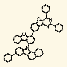 c1ccc(-c2ccc3c(c2)c2ccc4ccccc4c2n3-c2ccc(-c3ccc4oc5c(-c6ccccc6)nc(-c6ccccc6)nc5c4c3)c3oc4ccccc4c23)cc1